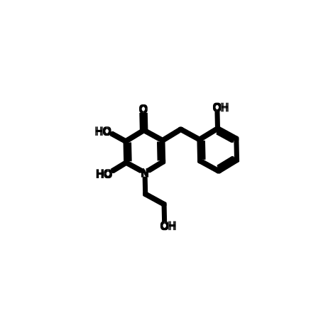 O=c1c(Cc2ccccc2O)cn(CCO)c(O)c1O